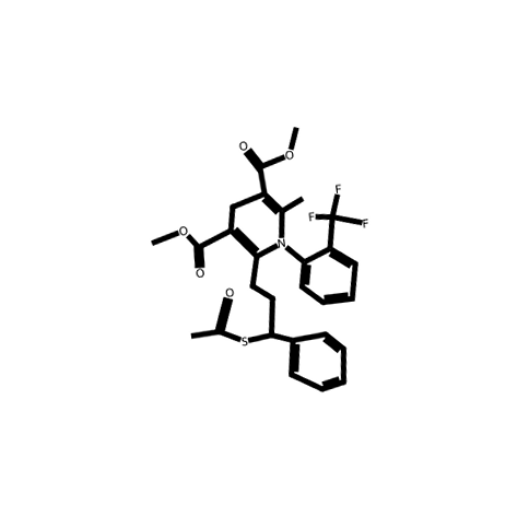 COC(=O)C1=C(C)N(c2ccccc2C(F)(F)F)C(CCC(SC(C)=O)c2ccccc2)=C(C(=O)OC)C1